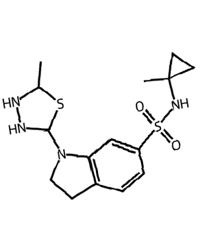 CC1NNC(N2CCc3ccc(S(=O)(=O)NC4(C)CC4)cc32)S1